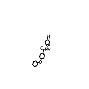 O=C(NC1CC2CC1CN2)c1ccc(Oc2ccccc2)cc1